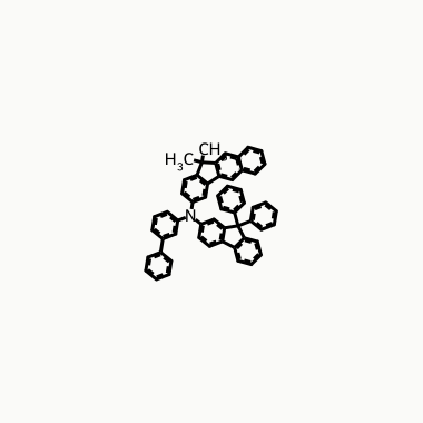 CC1(C)c2ccc(N(c3cccc(-c4ccccc4)c3)c3ccc4c(c3)C(c3ccccc3)(c3ccccc3)c3ccccc3-4)cc2-c2cc3ccccc3cc21